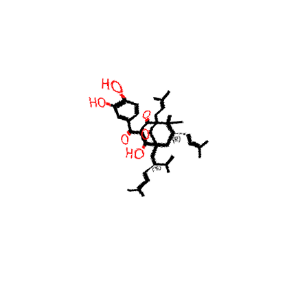 C=C(C)[C@@H](CC=C(C)C)CC12C[C@@H](CC=C(C)C)C(C)(C)C(CC=C(C)C)(C(=O)C(C(=O)c3ccc(O)c(O)c3)=C1O)C2=O